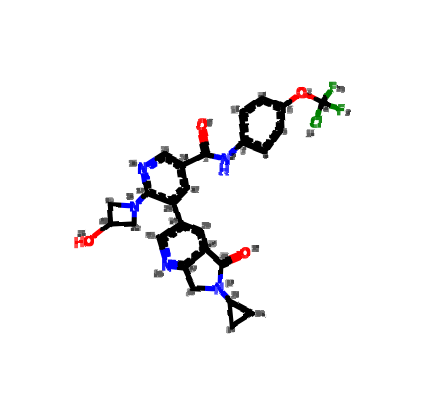 O=C(Nc1ccc(OC(F)(F)Cl)cc1)c1cnc(N2CC(O)C2)c(-c2cnc3c(c2)C(=O)N(C2CC2)C3)c1